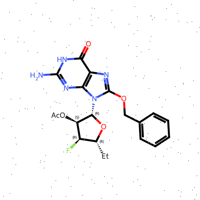 CC[C@H]1O[C@@H](n2c(OCc3ccccc3)nc3c(=O)[nH]c(N)nc32)[C@H](OC(C)=O)[C@@H]1F